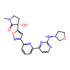 CN1CC[C@@](O)(c2cc(-c3cccc(-c4ccnc(N[C@H]5CCOC5)n4)n3)no2)C1=O